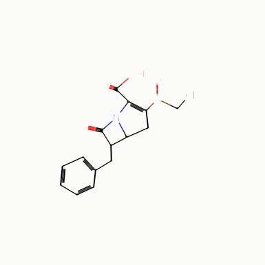 CC[S+]([O-])C1=C(C(=O)O)N2C(=O)C(Cc3ccccc3)C2C1